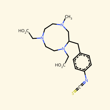 CN1CCN(CC(=O)O)CCN(CC(=O)O)C(Cc2ccc(N=C=S)cc2)C1